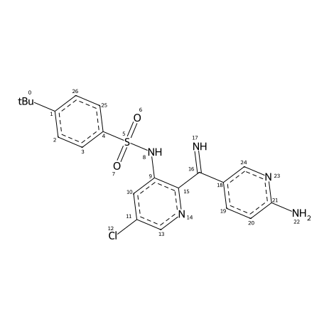 CC(C)(C)c1ccc(S(=O)(=O)Nc2cc(Cl)cnc2C(=N)c2ccc(N)nc2)cc1